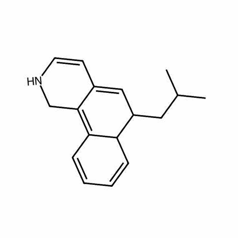 CC(C)CC1C=C2C=CNCC2=C2C=CC=CC21